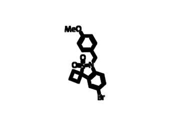 COc1ccc(CN2c3ccc(Br)cc3C3(CCC3)S2(=O)=O)cc1